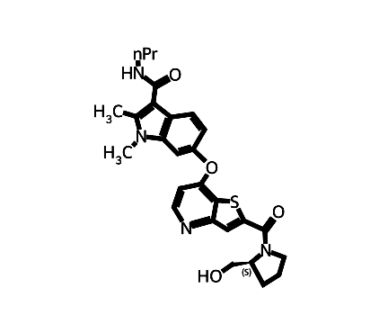 CCCNC(=O)c1c(C)n(C)c2cc(Oc3ccnc4cc(C(=O)N5CCC[C@H]5CO)sc34)ccc12